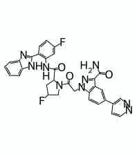 NC(=O)c1nn(CC(=O)N2CC(F)CC2C(=O)Nc2cc(F)ccc2-c2nc3ccccc3[nH]2)c2ccc(-c3ccnnc3)cc12